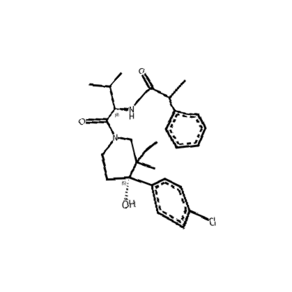 CC(C(=O)N[C@@H](C(=O)N1CC[C@](O)(c2ccc(Cl)cc2)C(C)(C)C1)C(C)C)c1ccccc1